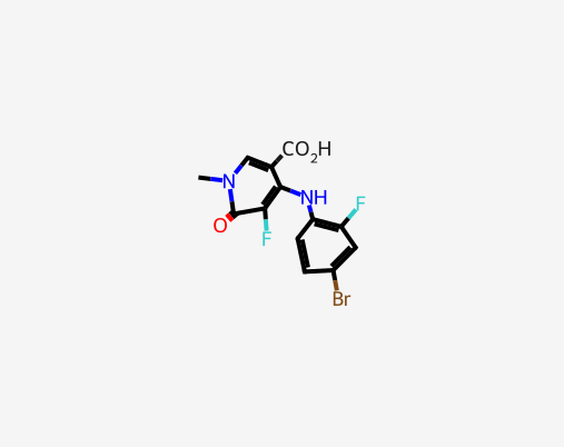 Cn1cc(C(=O)O)c(Nc2ccc(Br)cc2F)c(F)c1=O